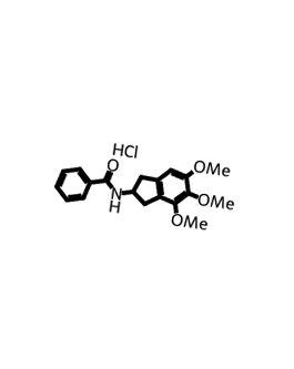 COc1cc2c(c(OC)c1OC)CC(NC(=O)c1ccccc1)C2.Cl